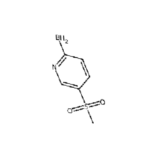 Bc1ccc(S(C)(=O)=O)cn1